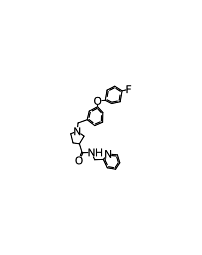 O=C(NCc1ccccn1)C1CCN(Cc2cccc(Oc3ccc(F)cc3)c2)C1